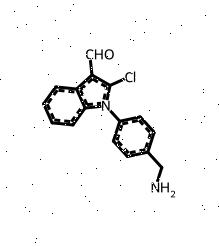 NCc1ccc(-n2c(Cl)c(C=O)c3ccccc32)cc1